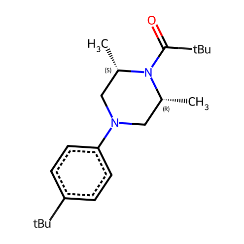 C[C@@H]1CN(c2ccc(C(C)(C)C)cc2)C[C@H](C)N1C(=O)C(C)(C)C